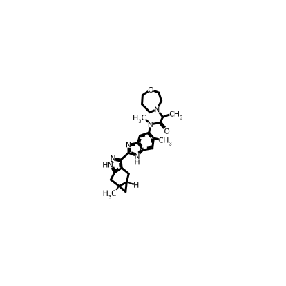 Cc1cc2[nH]c(-c3n[nH]c4c3C[C@@H]3C[C@]3(C)C4)nc2cc1N(C)C(=O)C(C)N1CCCOCC1